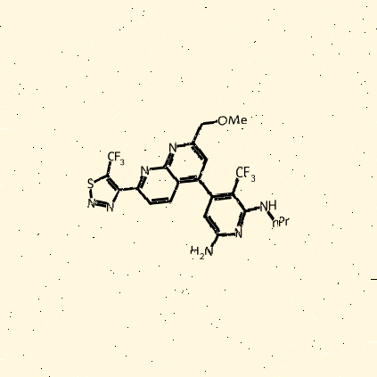 CCCNc1nc(N)cc(-c2cc(COC)nc3nc(-c4nnsc4C(F)(F)F)ccc23)c1C(F)(F)F